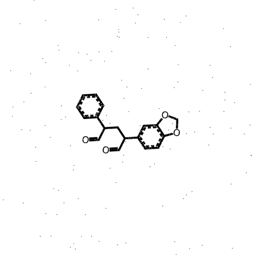 O=CC(CC(C=O)c1ccc2c(c1)OCO2)c1ccccc1